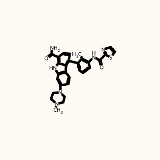 Cc1c(NC(=O)c2nccs2)cccc1-c1ccc(C(N)=O)c2[nH]c3cc(N4CCN(C)CC4)ccc3c12